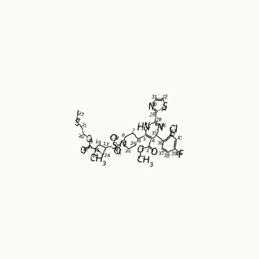 COC(=O)C1=C(C2CCN(S(=O)(=O)C3CC(C)(C(=O)OCCSI)C3)CC2)NC(c2nccs2)=NC1c1ccc(F)cc1Cl